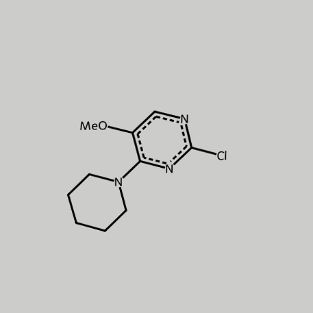 COc1cnc(Cl)nc1N1CCCCC1